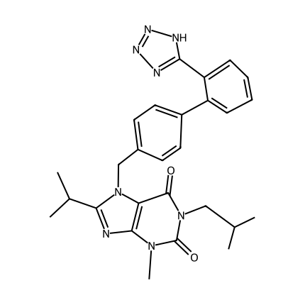 CC(C)Cn1c(=O)c2c(nc(C(C)C)n2Cc2ccc(-c3ccccc3-c3nnn[nH]3)cc2)n(C)c1=O